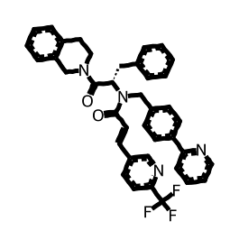 O=C([C@H](Cc1ccccc1)N(Cc1ccc(-c2ccccn2)cc1)C(=O)C=Cc1ccc(C(F)(F)F)nc1)N1CCc2ccccc2C1